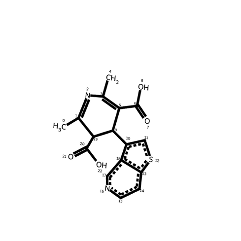 CC1=NC(C)=C(C(=O)O)C(c2csc3ccncc23)C1C(=O)O